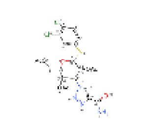 CC(=O)OCC1O[C@H](Sc2ccc(Cl)c(Cl)c2)[C@@H](OC(C)=O)C(n2cc(C(N)=O)nn2)[C@H]1OC(C)=O